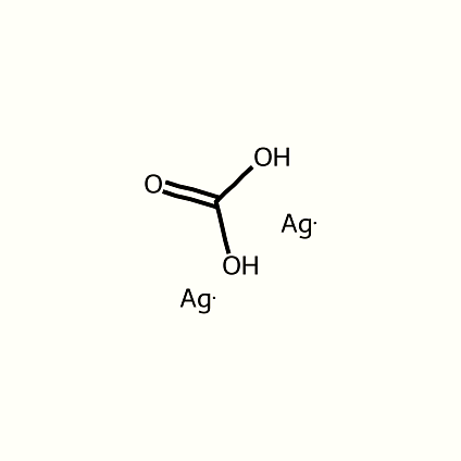 O=C(O)O.[Ag].[Ag]